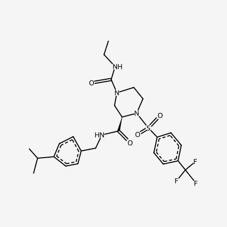 CCNC(=O)N1CCN(S(=O)(=O)c2ccc(C(F)(F)F)cc2)[C@@H](C(=O)NCc2ccc(C(C)C)cc2)C1